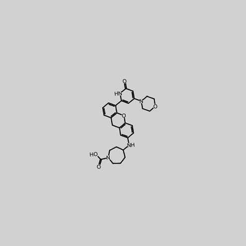 O=C(O)N1CCCC(Nc2ccc3c(c2)Cc2cccc(-c4cc(N5CCOCC5)cc(=O)[nH]4)c2O3)CC1